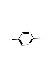 O=Cc1cnc(C=O)nc1